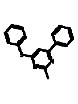 Cc1nc(Sc2ccccc2)cc(-c2ccccc2)n1